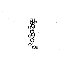 Cn1cc2c(=O)n(-c3ccc4c(=O)n(C5CCN(C(=O)OC(C)(C)C)CC5)ccc4c3)ccc2n1